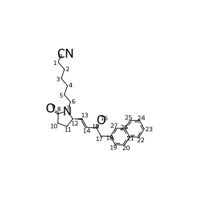 N#CCCCCCCN1C(=O)CC[C@@H]1C=CC(=O)Cc1ccc2ccccc2c1